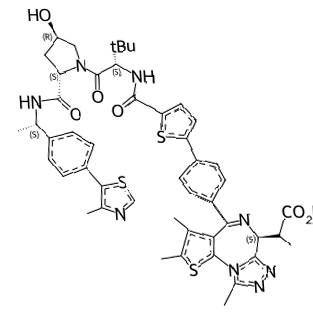 Cc1ncsc1-c1ccc([C@H](C)NC(=O)[C@@H]2C[C@@H](O)CN2C(=O)[C@@H](NC(=O)c2ccc(-c3ccc(C4=N[C@@H](C(C)C(=O)O)c5nnc(C)n5-c5sc(C)c(C)c54)cc3)s2)C(C)(C)C)cc1